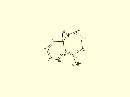 Nn1ccs[nH]c2ccccc21